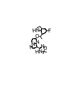 CC(Oc1ccn2ncc(C3=NOC(C)(C)N3)c2n1)c1cc(F)cc2c1NCC2